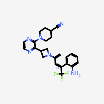 C=C(/C=C(\c1ccccc1N)C(F)(F)F)N1CC(c2nccnc2N2CCC(C#N)CC2)C1